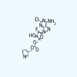 Nc1nc(Cl)nc2c1ncn2[C@@H]1O[C@H](COC(=O)OCc2cccnc2)[C@@H](O)[C@@H]1F